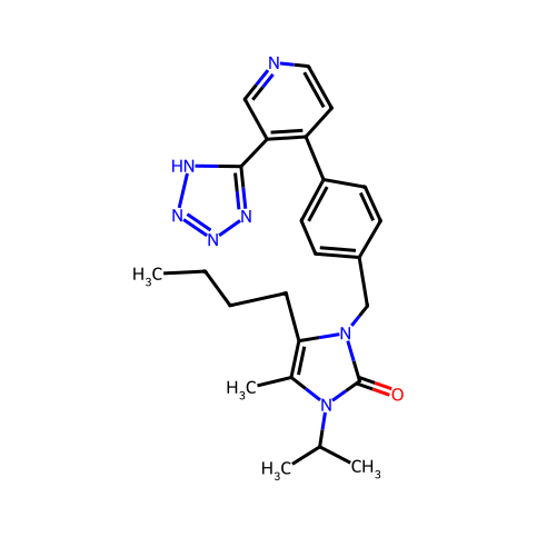 CCCCc1c(C)n(C(C)C)c(=O)n1Cc1ccc(-c2ccncc2-c2nnn[nH]2)cc1